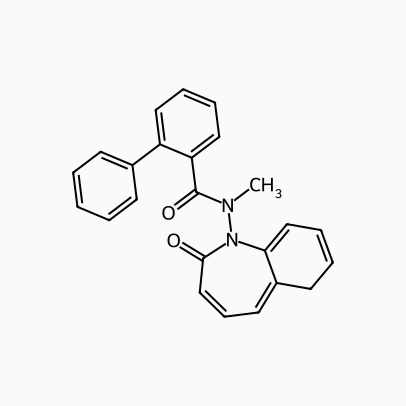 CN(C(=O)c1ccccc1-c1ccccc1)N1C(=O)C=CC=C2CC=CC=C21